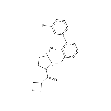 N[C@H]1CCN(C(=O)C2CCC2)[C@H]1Cc1cccc(-c2cccc(F)c2)c1